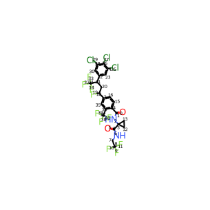 O=C(NC1(C(=O)NCC(F)(F)F)CC1)c1ccc(C(F)CC(c2cc(Cl)c(Cl)c(Cl)c2)C(F)(F)F)cc1C(F)(F)F